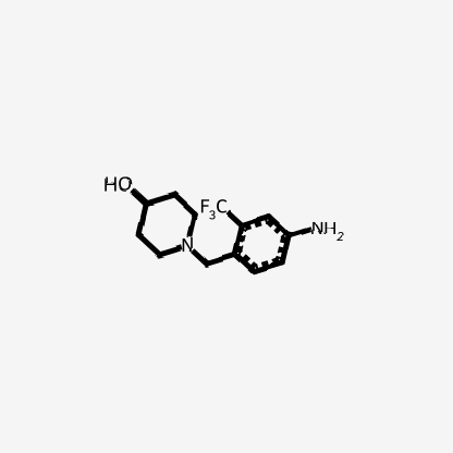 Nc1ccc(CN2CCC(O)CC2)c(C(F)(F)F)c1